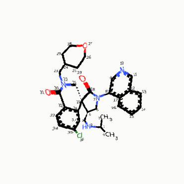 CC(C)NC[C@@H]1CN(c2cncc3ccccc23)C(=O)[C@@]12CN(CC1CCOCC1)C(=O)c1ccc(Cl)cc12